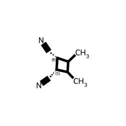 CC1C(C)[C@H](C#N)[C@@H]1C#N